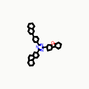 c1ccc2cc(-c3ccc(-c4nc(-c5ccc6c(ccc7ccccc76)c5)nc(-c5ccc6c(c5)oc5ccccc56)n4)cc3)ccc2c1